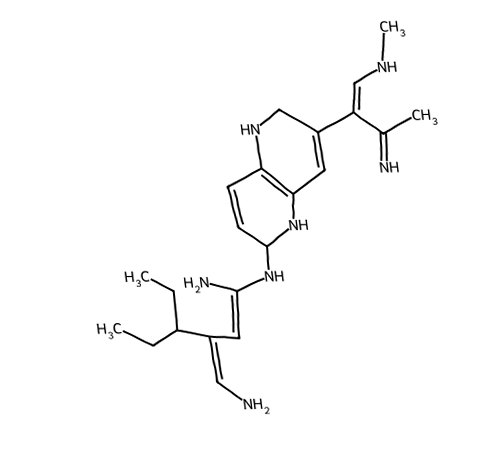 CCC(CC)C(=C/N)/C=C(\N)NC1C=CC2=C(C=C(/C(=C/NC)C(C)=N)CN2)N1